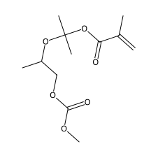 C=C(C)C(=O)OC(C)(C)OC(C)COC(=O)OC